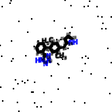 Cc1cc(-c2ccccc2-c2nnn[nH]2)c(C)cc1Cc1ccc[nH]1